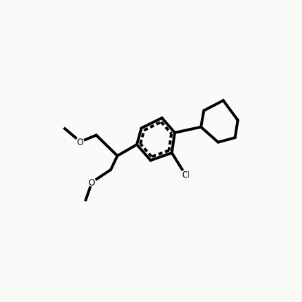 COCC(COC)c1ccc(C2CCCCC2)c(Cl)c1